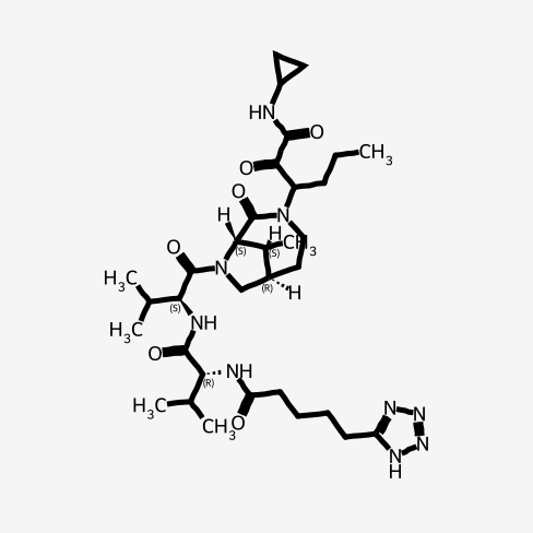 CCCC(C(=O)C(=O)NC1CC1)N1CC[C@H]2CN(C(=O)[C@@H](NC(=O)[C@H](NC(=O)CCCCc3nnn[nH]3)C(C)C)C(C)C)[C@H](C1=O)[C@H]2C